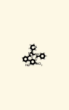 O=C(Nc1oc(-c2ccccc2-c2ccc([N+](=O)[O-])cc2O)nc1-c1cccnc1)c1ccccc1